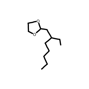 CCCCCC(CC)CC1OCCO1